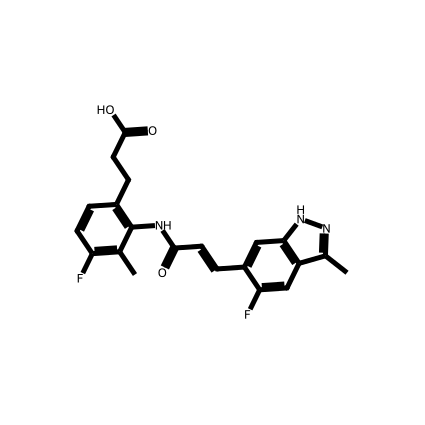 Cc1c(F)ccc(CCC(=O)O)c1NC(=O)C=Cc1cc2[nH]nc(C)c2cc1F